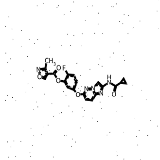 Cc1nocc1C(=O)Oc1cc(Oc2ccc3nc(NC(=O)C4CC4)cn3n2)ccc1F